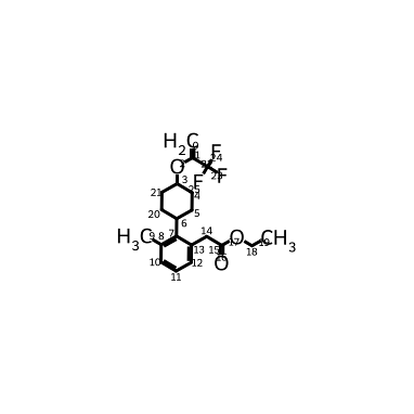 C=C(OC1CCC(c2c(C)cccc2CC(=O)OCC)CC1)C(F)(F)F